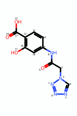 O=C(Cn1cnnn1)Nc1ccc(C(=O)O)c(O)c1